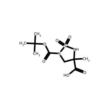 CC(C)(C)OC(=O)N1CC(C)(C(=O)O)NS1(=O)=O